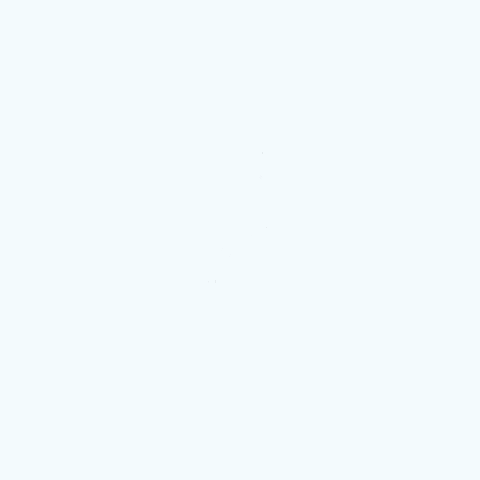 Fc1cc(C2OCC(S)CO2)ccc1-c1ccc(C(F)(F)F)cc1